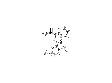 COc1ccc(Br)cc1CSc1ccccc1C(=O)NN